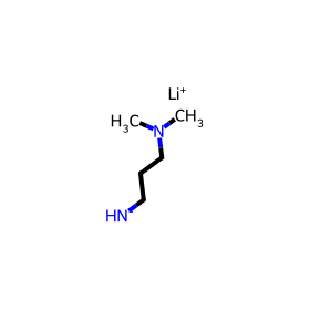 CN(C)CCC[NH-].[Li+]